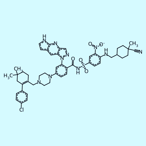 CC1(C)CCC(CN2CCN(c3ccc(C(=O)NS(=O)(=O)c4ccc(NCC5CCC(C)(C#N)CC5)c([N+](=O)[O-])c4)c(-n4ncc5nc6[nH]ccc6cc54)c3)CC2)=C(c2ccc(Cl)cc2)C1